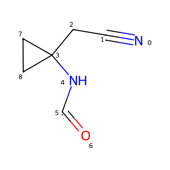 N#CCC1(N[C]=O)CC1